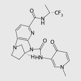 C[C@@H](NC(=O)c1ccc2c(n1)N(C(=O)Nc1cn(C)ccc1=O)[C@H]1CCN2C1)C(F)(F)F